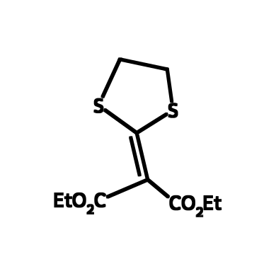 CCOC(=O)C(C(=O)OCC)=C1SCCS1